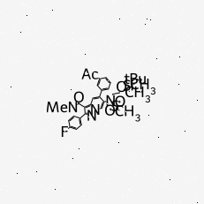 CNC(=O)c1c(-c2ccc(F)cc2)nn2cc(N(CCO[Si](C)(C)C(C)(C)C)S(C)(=O)=O)c(-c3cccc(C(C)=O)c3)cc12